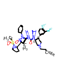 COCCN1C[C@@H](NC(=O)Nc2c(C)c(C3CCCN3S(C)(=O)=O)nn2-c2ccccc2)[C@H](c2ccc(F)c(F)c2)C1